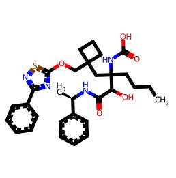 CCCCC(CC1(COc2nc(-c3ccccc3)ns2)CCC1)(NC(=O)O)C(O)C(=O)N[C@H](C)c1ccccc1